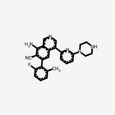 Cc1cccc(F)c1-c1cc2c(-c3cccc(N4CCNCC4)n3)cncc2c(N)c1C#N